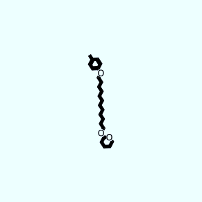 Cc1ccc(OCCCCCCCCCCCCOC2CCCCO2)cc1